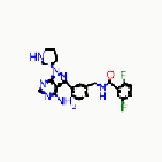 Nc1ncnc2c1c(-c1cccc(CNC(=O)c3cc(F)ccc3F)c1)nn2[C@@H]1CCCNC1